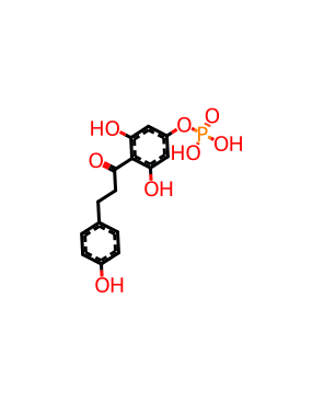 O=C(CCc1ccc(O)cc1)c1c(O)cc(OP(=O)(O)O)cc1O